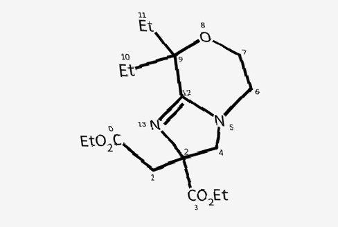 CCOC(=O)CC1(C(=O)OCC)CN2CCOC(CC)(CC)C2=N1